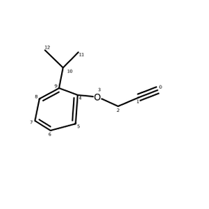 C#CCOc1ccccc1C(C)C